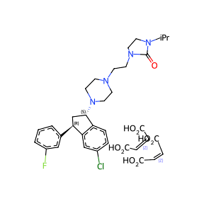 CC(C)N1CCN(CCN2CCN([C@H]3C[C@H](c4cccc(F)c4)c4cc(Cl)ccc43)CC2)C1=O.O=C(O)/C=C\C(=O)O.O=C(O)/C=C\C(=O)O